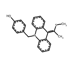 CSC(C)=C1c2ccccc2N(Cc2ccc(O)cc2)c2ccccc21